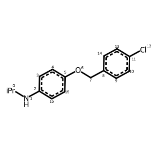 CC(C)Nc1ccc(OCc2ccc(Cl)cc2)cc1